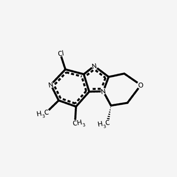 Cc1nc(Cl)c2nc3n(c2c1C)[C@@H](C)COC3